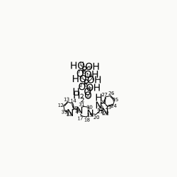 O.O.O=P(O)(O)O.O=P(O)(O)O.c1ccc(N2CCN(Cc3nc4ccccc4[nH]3)CC2)nc1